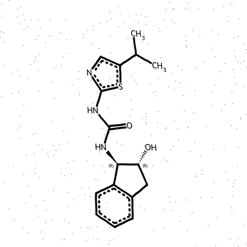 CC(C)c1cnc(NC(=O)N[C@@H]2c3ccccc3C[C@H]2O)s1